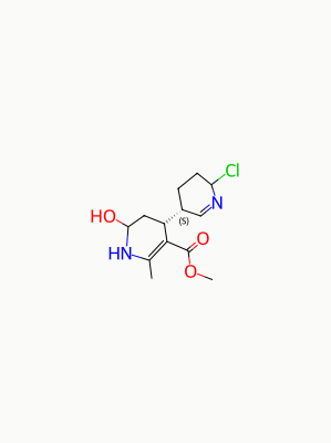 COC(=O)C1=C(C)NC(O)CC1[C@H]1C=NC(Cl)CC1